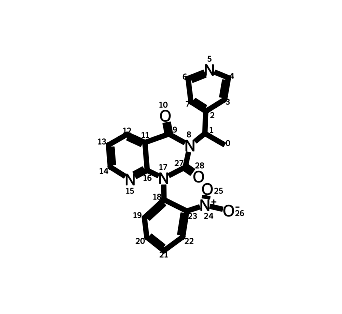 CC(c1ccncc1)n1c(=O)c2cccnc2n(-c2ccccc2[N+](=O)[O-])c1=O